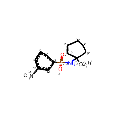 O=C(O)C1(NS(=O)(=O)c2cccc([N+](=O)[O-])c2)CCCCC1